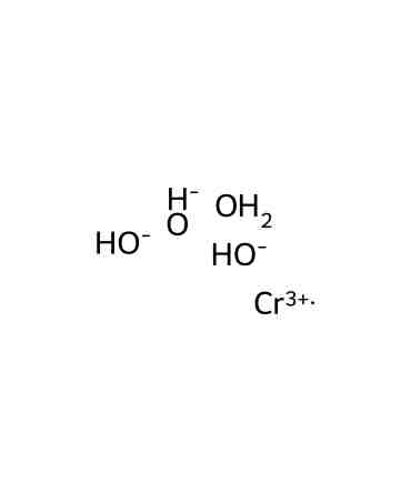 O.[Cr+3].[OH-].[OH-].[OH-]